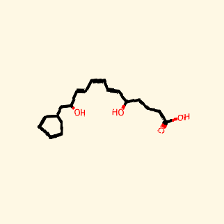 O=C(O)CCCC(O)/C=C/C=C\C=C\C(O)CC1CCCCC1